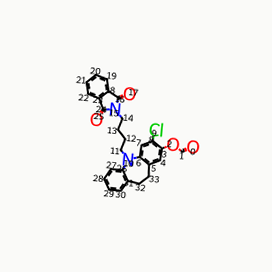 O=COc1cc2c(cc1Cl)N(CCCCN1C(=O)c3ccccc3C1=O)c1ccccc1CC2